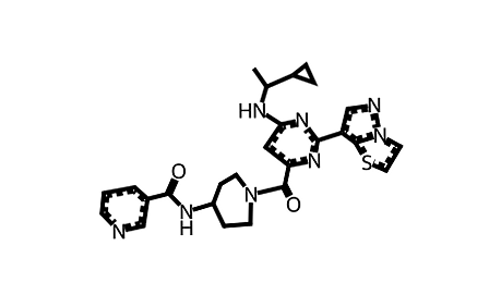 CC(Nc1cc(C(=O)N2CCC(NC(=O)c3cccnc3)CC2)nc(-c2cnn3ccsc23)n1)C1CC1